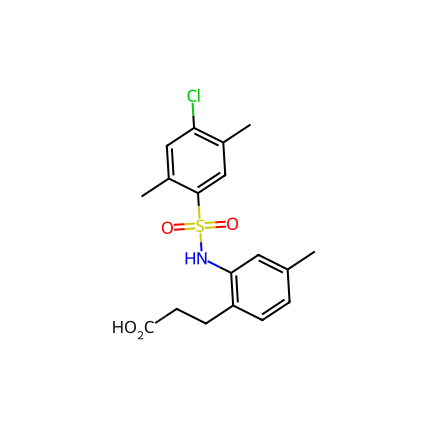 Cc1ccc(CCC(=O)O)c(NS(=O)(=O)c2cc(C)c(Cl)cc2C)c1